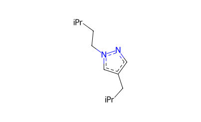 CC(C)CCn1cc(CC(C)C)cn1